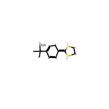 CCOC(=O)C(C)(C)C1=CCC(=C2SCCS2)C=C1